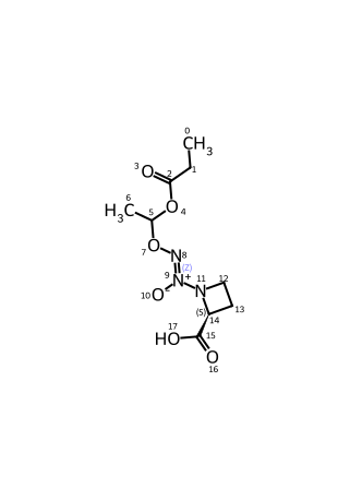 CCC(=O)OC(C)O/N=[N+](\[O-])N1CC[C@H]1C(=O)O